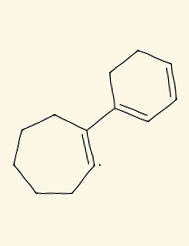 [C]1=C(C2=CC=CCC2)CCCCC1